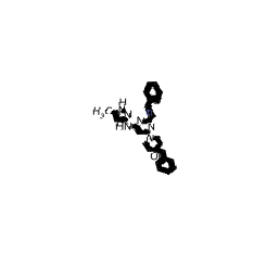 Cc1cc(Nc2cc(N3CCC(O)(Cc4ccccc4)CC3)nc(/C=C/c3ccccc3)n2)n[nH]1